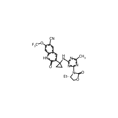 CC[C@H]1COC(=O)N1c1nc(C)nc(NC2(c3cc4cc(C#N)c(OC(F)(F)F)cc4[nH]c3=O)CC2)n1